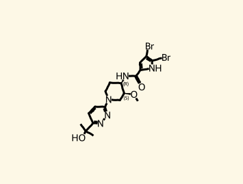 CO[C@H]1CN(c2ccc(C(C)(C)O)nn2)CC[C@H]1NC(=O)c1cc(Br)c(Br)[nH]1